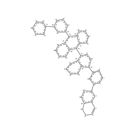 C1=Cc2cc(-c3cccc(-c4ccc(-c5c6ccccc6c(-c6cccc(-c7ccccc7)c6)c6ccccc56)c5ccccc45)c3)ccc2CC1